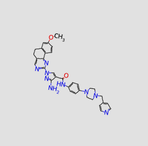 COc1ccc2c(c1)CCc1cnc(-n3cc(C(=O)Nc4ccc(N5CCN(Cc6ccncc6)CC5)cc4)c(N)n3)nc1-2